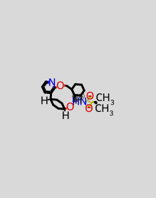 CC(C)S(=O)(=O)N[C@H]1CCCC2COc3ncccc3[C@H]3CC[C@H](CC3)OC[C@H]21